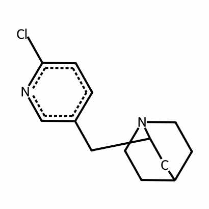 Clc1ccc(CC2CC3CCN2CC3)cn1